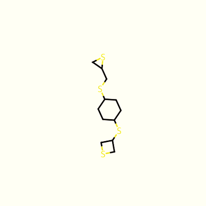 C1CC(SC2CSC2)CCC1SCC1CS1